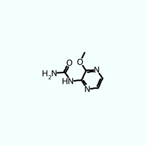 COc1nccnc1NC(N)=O